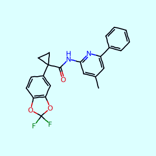 Cc1cc(NC(=O)C2(c3ccc4c(c3)OC(F)(F)O4)CC2)nc(-c2ccccc2)c1